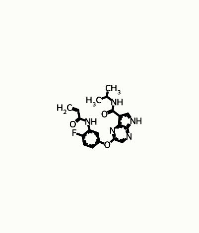 C=CC(=O)Nc1cc(Oc2cnc3[nH]cc(C(=O)NC(C)C)c3n2)ccc1F